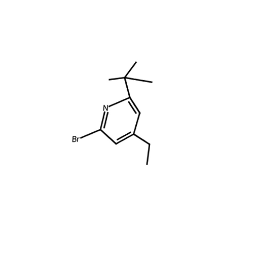 CCc1cc(Br)nc(C(C)(C)C)c1